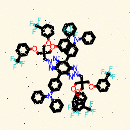 FC(F)(F)c1cccc(OCC(COc2cccc(C(F)(F)F)c2)(COc2cccc(C(F)(F)F)c2)Cn2nc3c(-c4ccc(N(c5ccccc5)c5ccccc5)cc4)c4n[n+](CC(COc5cccc(C(F)(F)F)c5)(COc5cccc(C(F)(F)F)c5)COc5cccc(C(F)(F)F)c5)[n-]c4c(-c4ccc(N(c5ccccc5)c5ccccc5)cc4)c3n2)c1